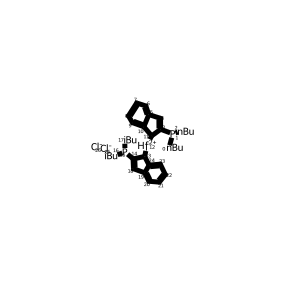 CCCCP(CCCC)C1=Cc2ccccc2[CH]1[Hf+2][CH]1C(P(C(C)CC)C(C)CC)=Cc2ccccc21.[Cl-].[Cl-]